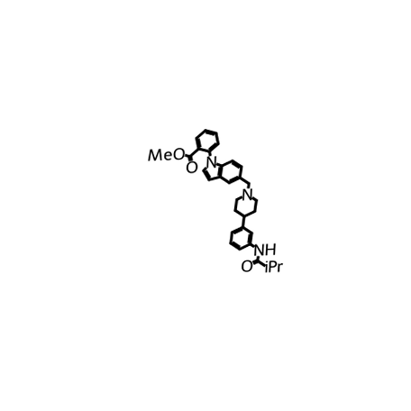 COC(=O)c1ccccc1-n1ccc2cc(CN3CCC(c4cccc(NC(=O)C(C)C)c4)CC3)ccc21